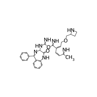 CC(=N)/C=C\C(=C\COCC1CCN1)C(=N)OC(=N)NC1N=C(c2ccccc2)c2ccccc2NC1=O